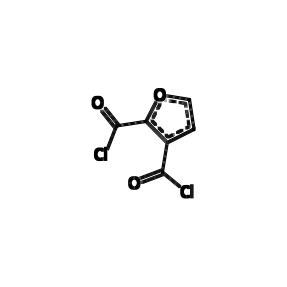 O=C(Cl)c1ccoc1C(=O)Cl